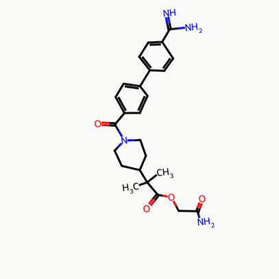 CC(C)(C(=O)OCC(N)=O)C1CCN(C(=O)c2ccc(-c3ccc(C(=N)N)cc3)cc2)CC1